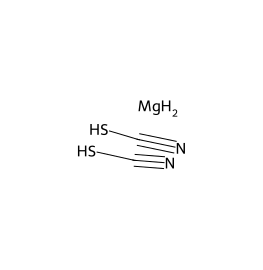 N#CS.N#CS.[MgH2]